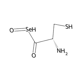 N[C@@H](CS)C(=O)[SeH]=O